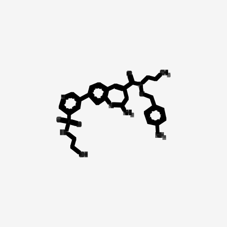 CCCN(OCc1ccc(N)cc1)C(=O)C1=Cc2ccc(-c3cncc(S(=O)(=O)NCCO)c3)cc2N=C(N)C1